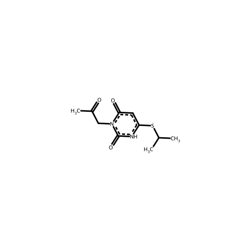 CC(=O)Cn1c(=O)cc(SC(C)C)[nH]c1=O